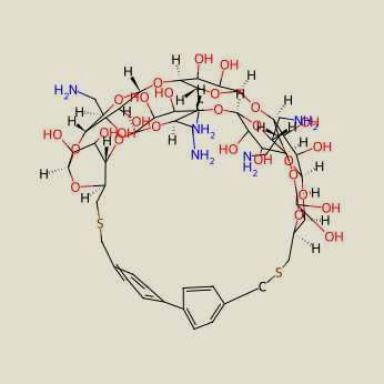 NC[C@H]1O[C@@H]2O[C@H]3C(O)C(O)[C@@H]4O[C@@H]3CSCc3ccc(cc3)-c3ccc(cc3)CSC[C@H]3O[C@H](O[C@H]5C(O)C(O)[C@H](O[C@@H]5CN)O[C@H]5C(O)C(O)[C@H](O[C@@H]5CN)O[C@H]1C(O)C2O)C(O)C(O)[C@@H]3O[C@@H]1O[C@H](CN)[C@@H](O[C@H]2O[C@H](CN)[C@@H](O4)C(O)C2O)C(O)C1O